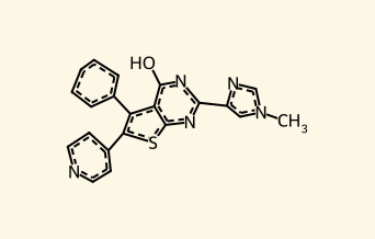 Cn1cnc(-c2nc(O)c3c(-c4ccccc4)c(-c4ccncc4)sc3n2)c1